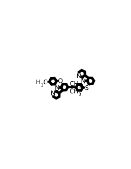 Cc1ccc2c(c1)-n1c3ncccc3c3cc(C(C)(C)c4ccc5c(c4)-n4c6ncccc6c6cccc(c64)S5)cc(c31)O2